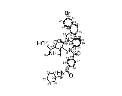 CNC(C)C(=O)NC1CN(C(=O)c2ccc(C(=O)NCC3CCCCC3)cc2)c2ccccc2N(Cc2c(OC)ccc3cc(Br)ccc23)C1=O.Cl